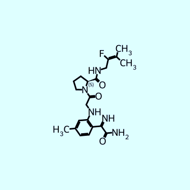 CC(C)=C(F)CNC(=O)[C@@H]1CCCN1C(=O)CNc1cc(C)ccc1C(=N)C(N)=O